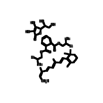 CC1=C(/C=C/C(C)=C/C=C/C(C)=C\C(=O)O)C(C)(C)CCC1.CCCCC(CC)COC(=O)c1ccccc1C(=O)OCC(CC)CCCC.O=C1O[C@H]([C@@H](O)CO)C(O)=C1O